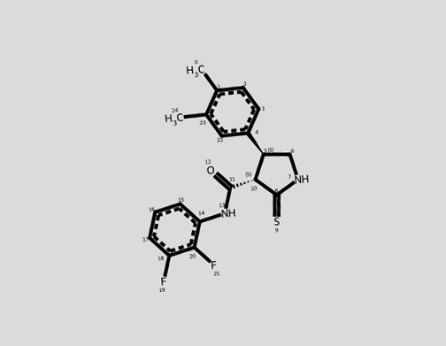 Cc1ccc([C@H]2CNC(=S)[C@@H]2C(=O)Nc2cccc(F)c2F)cc1C